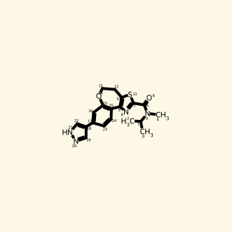 CC(C)N(C)C(=O)c1nc2c(s1)CCOc1cc(-c3cn[nH]c3)ccc1-2